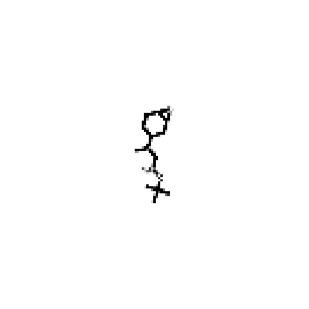 CC(C[SiH2]OC(C)(C)C)C1CCC2OC2C1